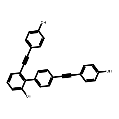 Oc1ccc(C#Cc2ccc(-c3c(C#Cc4ccc(O)cc4)[c]ccc3O)cc2)cc1